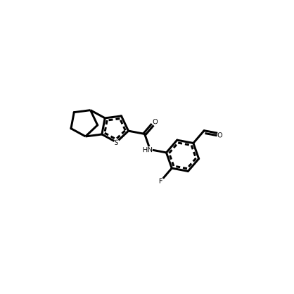 O=Cc1ccc(F)c(NC(=O)c2cc3c(s2)C2CCC3C2)c1